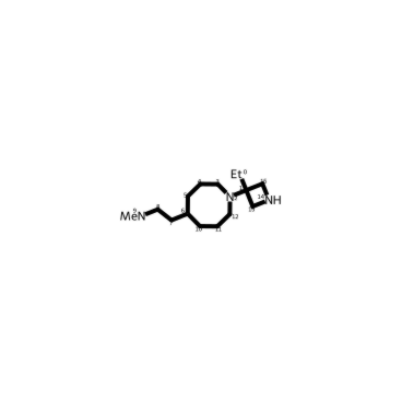 CCC1(N2CCCC(CCNC)CCC2)CNC1